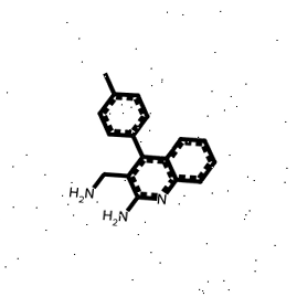 Cc1ccc(-c2c(CN)c(N)nc3ccccc23)cc1